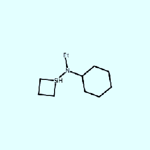 CCN(C1CCCCC1)[SiH]1CCC1